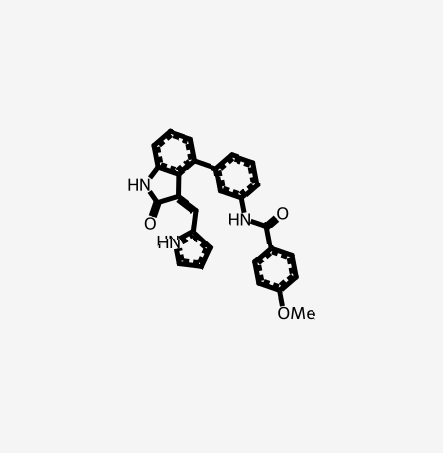 COc1ccc(C(=O)Nc2cccc(-c3cccc4c3C(=Cc3ccc[nH]3)C(=O)N4)c2)cc1